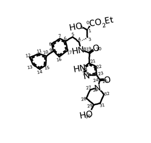 CCOC(=O)[C@H](O)C[C@@H](Cc1ccc(-c2ccccc2)cc1)NC(=O)c1cc(C(=O)N2CCC(O)CC2)n[nH]1